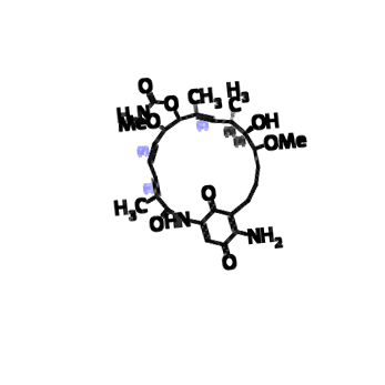 COC1/C=C\C=C(/C)C(=O)NC2=CC(=O)C(N)=C(CCCC(OC)[C@H](O)[C@@H](C)/C=C(\C)C1OC(N)=O)C2=O